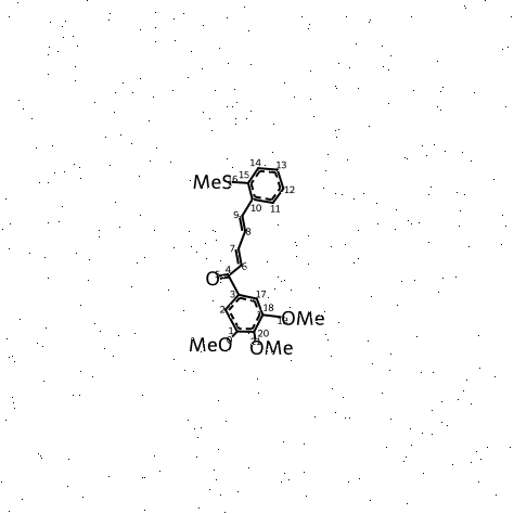 COc1cc(C(=O)C=CC=Cc2ccccc2SC)cc(OC)c1OC